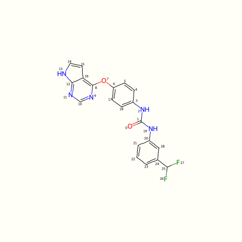 O=C(Nc1ccc(Oc2ncnc3[nH]ccc23)cc1)Nc1cccc(C(F)F)c1